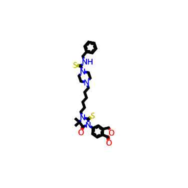 CC1(C)C(=O)N(c2ccc3c(c2)COC3=O)C(=S)N1CCCCCCN1CCN(C(=S)NCc2ccccc2)CC1